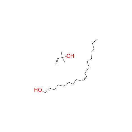 C=CC(C)(C)O.CCCCCCCC/C=C\CCCCCCCCO